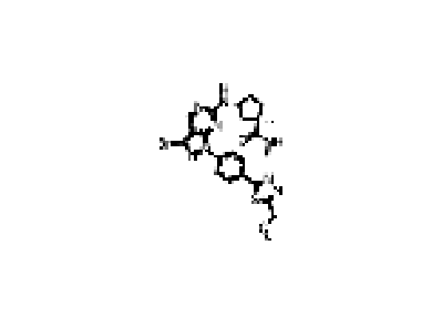 CNC(=O)[C@]1(C)CC[C@@H](Nc2ncc3c(Br)nn(-c4ccc(-c5nnc(COC)s5)cc4)c3n2)C1